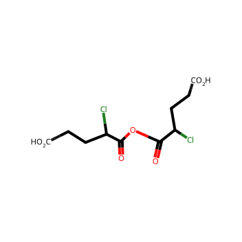 O=C(O)CCC(Cl)C(=O)OC(=O)C(Cl)CCC(=O)O